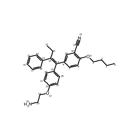 CCCCOc1ccc(/C(=C(\CC)c2ccccc2)c2ccc(OCCN)cc2)cc1C#N